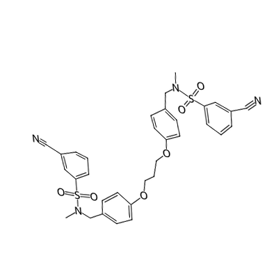 CN(Cc1ccc(OCCCOc2ccc(CN(C)S(=O)(=O)c3cccc(C#N)c3)cc2)cc1)S(=O)(=O)c1cccc(C#N)c1